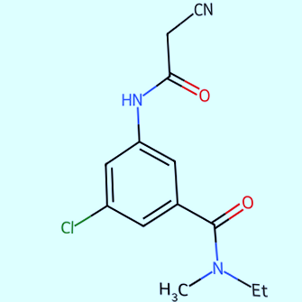 CCN(C)C(=O)c1cc(Cl)cc(NC(=O)CC#N)c1